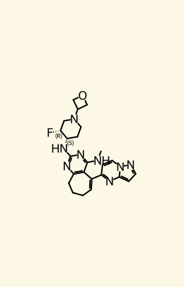 CNc1nc(N[C@H]2CCN(C3COC3)C[C@H]2F)nc2c1C(c1ccn3nccc3n1)=CCCC2